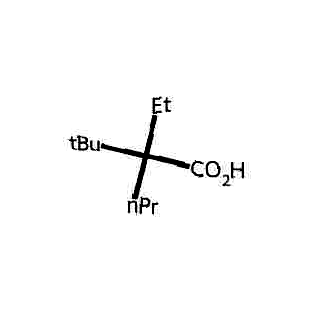 CCCC(CC)(C(=O)O)C(C)(C)C